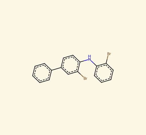 Brc1ccccc1Nc1ccc(-c2ccccc2)cc1Br